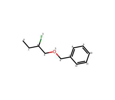 CCC(F)COCc1ccccc1